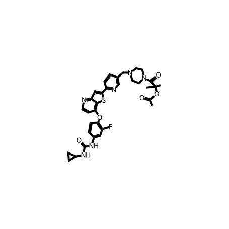 CC(=O)OC(C)(C)C(=O)N1CCN(Cc2ccc(-c3cc4nccc(Oc5ccc(NC(=O)NC6CC6)cc5F)c4s3)nc2)CC1